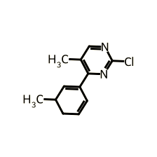 Cc1cnc(Cl)nc1C1=CC(C)CC=C1